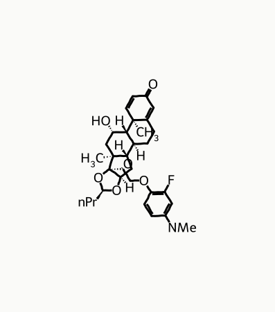 CCC[C@@H]1O[C@@H]2C[C@H]3[C@@H]4CCC5=CC(=O)C=C[C@]5(C)[C@H]4[C@@H](O)C[C@]3(C)[C@]2(C(=O)COc2ccc(NC)cc2F)O1